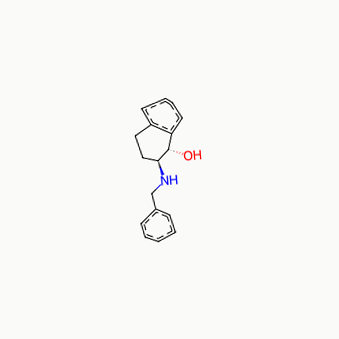 O[C@H]1c2ccccc2CC[C@@H]1NCc1ccccc1